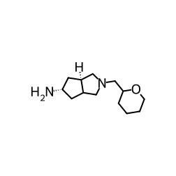 N[C@H]1CC2CN(CC3CCCCO3)C[C@@H]2C1